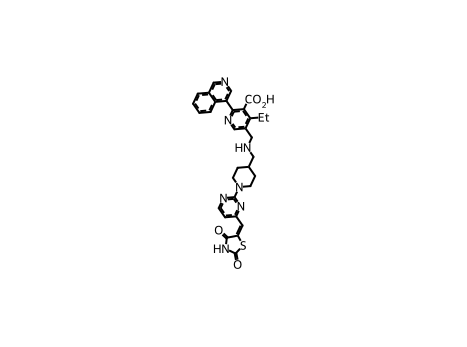 CCc1c(CNCC2CCN(c3nccc(C=C4SC(=O)NC4=O)n3)CC2)cnc(-c2cncc3ccccc23)c1C(=O)O